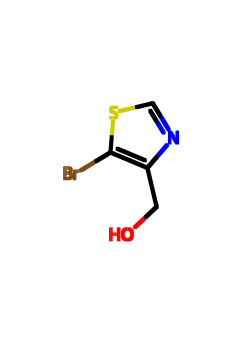 OCc1ncsc1Br